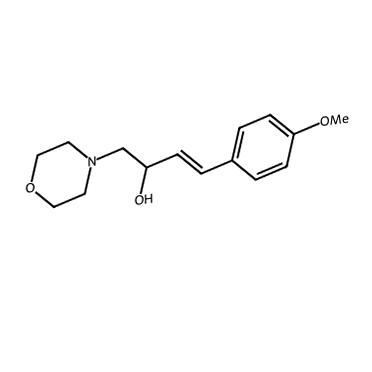 COc1ccc(C=CC(O)CN2CCOCC2)cc1